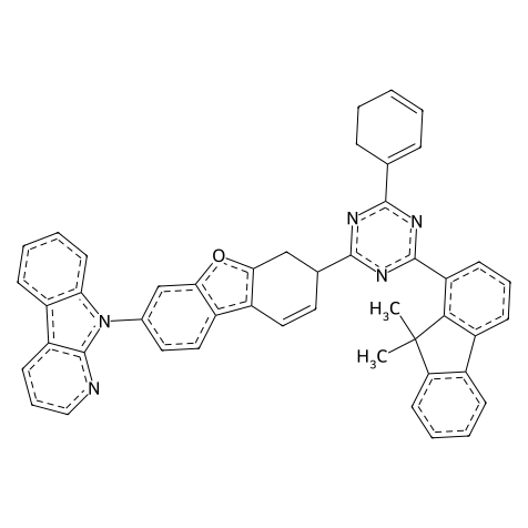 CC1(C)c2ccccc2-c2cccc(-c3nc(C4=CC=CCC4)nc(C4C=Cc5c(oc6cc(-n7c8ccccc8c8cccnc87)ccc56)C4)n3)c21